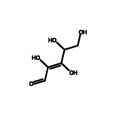 O=CC(O)=C(O)C(O)CO